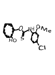 COc1cc(Cl)ccc1NC(=S)Oc1ccccc1O